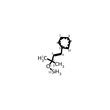 CC(C)(C=Cc1ccccc1)O[SiH3]